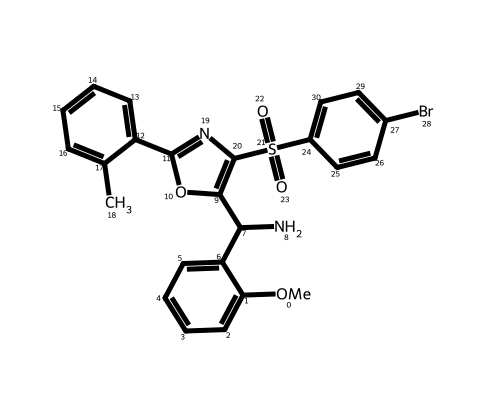 COc1ccccc1C(N)c1oc(-c2ccccc2C)nc1S(=O)(=O)c1ccc(Br)cc1